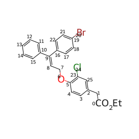 CCOC(=O)Cc1ccc(OCC=C(c2ccccc2)c2ccc(Br)cc2)c(Cl)c1